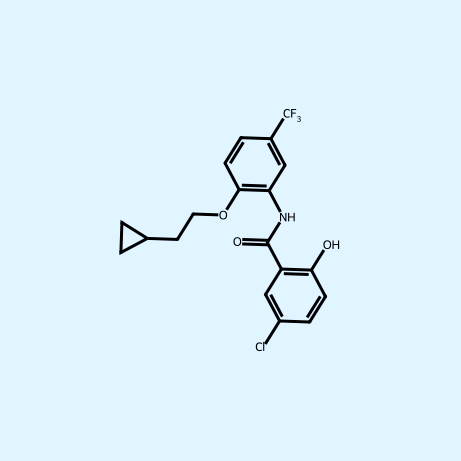 O=C(Nc1cc(C(F)(F)F)ccc1OCCC1CC1)c1cc(Cl)ccc1O